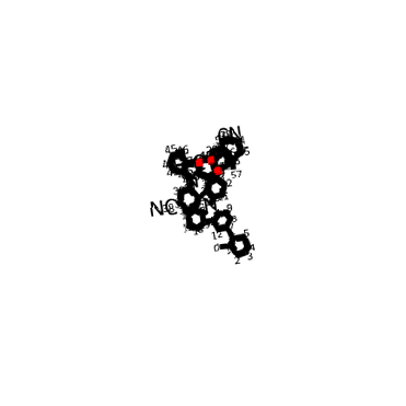 Cc1ccccc1-c1ccc2c(c1)c1ccccc1n2-c1ccc(-c2ccc(C#N)cc2C(F)(F)F)cc1-c1ccc(C#N)cc1-n1c2ccccc2c2cc(-c3ccccc3C)ccc21